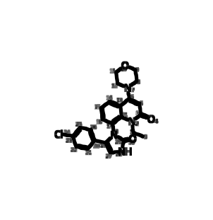 CCn1c(=O)cc(N2CCOCC2)c2cccc(-n3c(-c4ccc(Cl)cc4)c[nH]c3=O)c21